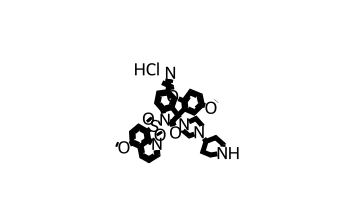 CCOc1ccc(OC)cc1C1(N2CCN(C3CCNCC3)CC2)C(=O)N(S(=O)(=O)c2ccc(OC)c3cccnc23)c2ccc(C#N)cc21.Cl